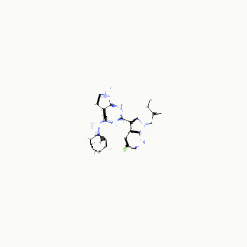 CCC(C)Cn1cc(-c2nc(NC3CC4CCC3CC4)c3ccn(C)c3n2)c2cc(F)cnc21